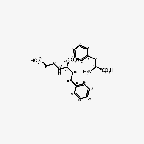 N[C@@H](Cc1ccccc1)C(=O)O.O=C(O)CCN[C@H](CCc1ccccc1)C(=O)O